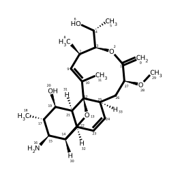 C=C1O[C@H]([C@@H](C)O)[C@H](C)/C=C(\C)[C@@]23O[C@H]4[C@@H](N)[C@H](C)[C@@H](O)[C@@H]2[C@H]4C=C[C@@H]3C[C@@H]1OC